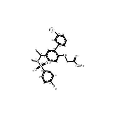 COC(=O)COc1ccc(C(C)N(C)S(=O)(=O)c2ccc(F)cc2)cc1-c1cccc(C(F)(F)F)c1